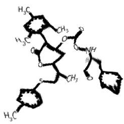 Cc1ccc(SCC(C)C2CC(OC(=O)ON[C@H](C=O)Cc3ccccc3)=C(c3c(C)cc(C)cc3C)C(=O)O2)cc1